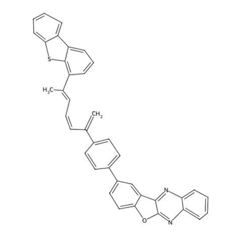 C=C(/C=C\C=C(/C)c1cccc2c1sc1ccccc12)c1ccc(-c2ccc3oc4nc5ccccc5nc4c3c2)cc1